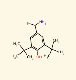 CC(C)(C)c1cc(C(N)[P])cc(C(C)(C)C)c1O